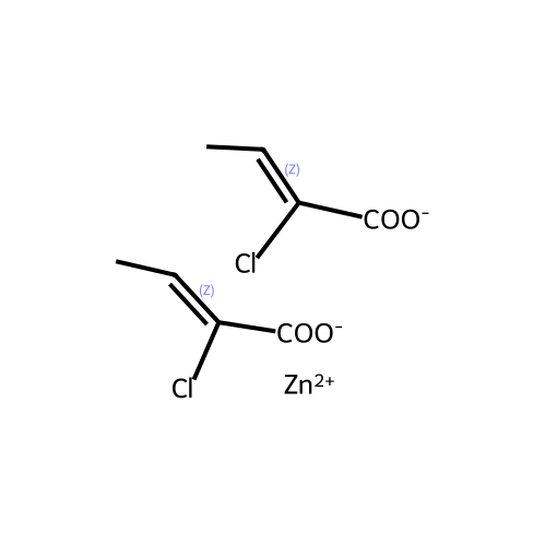 C/C=C(\Cl)C(=O)[O-].C/C=C(\Cl)C(=O)[O-].[Zn+2]